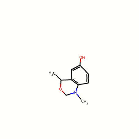 CC1OCN(C)c2ccc(O)cc21